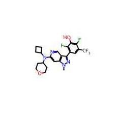 Cn1nc(-c2cc(C(F)(F)F)c(F)c(O)c2F)c2cnc(N(C3CCC3)C3CCOCC3)cc21